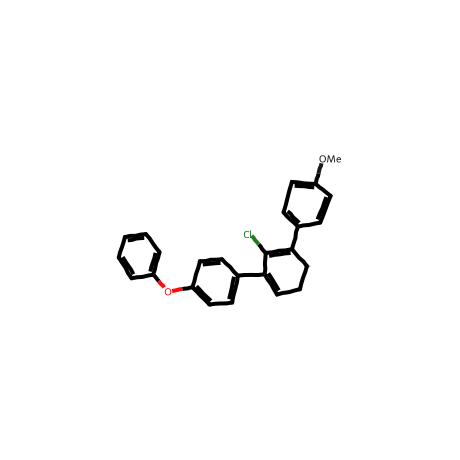 COc1ccc(C2=C(Cl)C(c3ccc(Oc4ccccc4)cc3)=CC[CH]2)cc1